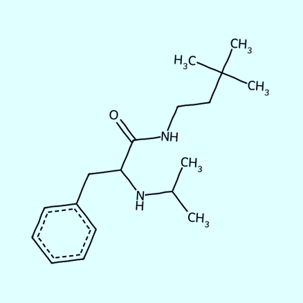 CC(C)NC(Cc1ccccc1)C(=O)NCCC(C)(C)C